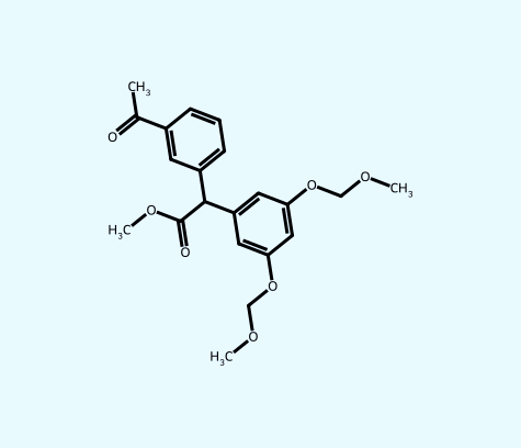 COCOc1cc(OCOC)cc(C(C(=O)OC)c2cccc(C(C)=O)c2)c1